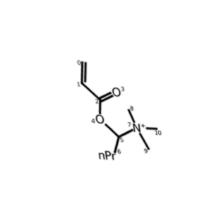 C=CC(=O)OC(CCC)[N+](C)(C)C